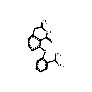 C=C1Cc2cccc(Oc3ccccc3C(C)C)c2C(=O)N1